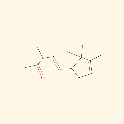 CC(=O)C(C)C=CC1CC=C(C)C1(C)C